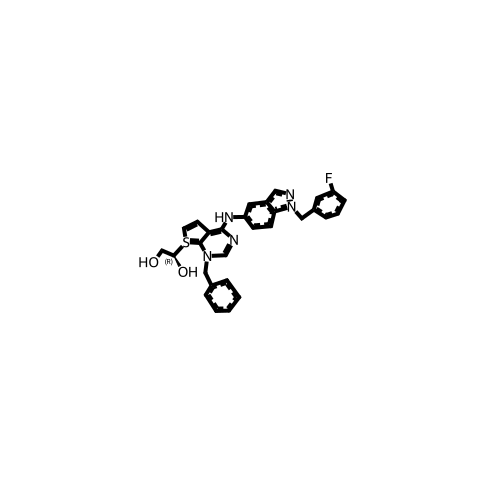 OC[C@H](O)S1=C2C(=C(Nc3ccc4c(cnn4Cc4cccc(F)c4)c3)N=CN2Cc2ccccc2)C=C1